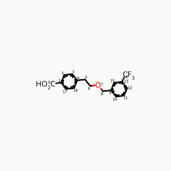 O=C(O)c1ccc(CCOCc2cccc(C(F)(F)F)c2)cc1